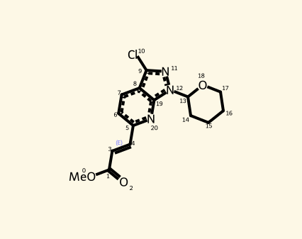 COC(=O)/C=C/c1ccc2c(Cl)nn(C3CCCCO3)c2n1